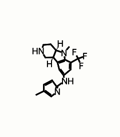 Cc1ccc(Nc2cc3c(c(C(F)(F)F)c2)N(C)[C@@H]2CCNC[C@H]32)nc1